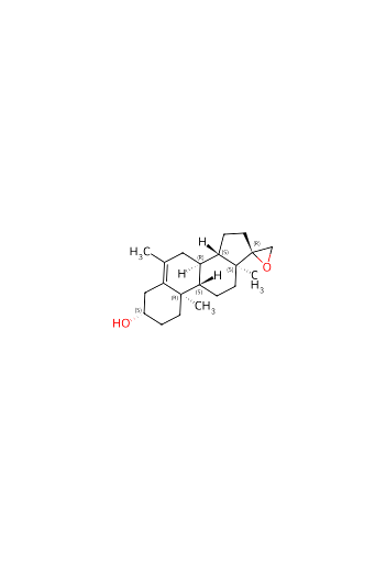 CC1=C2C[C@@H](O)CC[C@]2(C)[C@H]2CC[C@@]3(C)[C@@H](CC[C@]34CO4)[C@@H]2C1